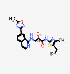 Cc1nc(-c2ccc3ccnc(NC[C@@H](O)C(=O)Nc4nc(C)c(CC(C)C)s4)c3c2)no1